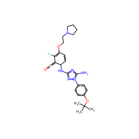 CC(C)(C)Oc1ccc(-n2nc(NC3C=CC(OCCN4CCCC4)=C(F)C3=C=O)nc2N)cc1